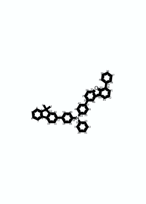 CC1(C)c2ccccc2-c2ccc(-c3ccc(N(c4ccccc4)c4ccc(-c5ccc6oc7c(-c8ccccc8)cccc7c6c5)cc4)cc3)cc21